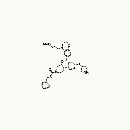 COCCCN1CCOc2ccc(COC3CN(C(=O)OCc4ccccc4)CCC3c3ccc(OC4CCNC4)cc3)cc21